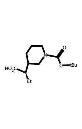 CC[C@@H](C(=O)O)C1CCCN(C(=O)OC(C)(C)C)C1